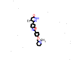 CCC1CC(=O)NN=C1c1ccc2nc(-c3ccc(OCC4CCCCN4C)cc3)oc2c1